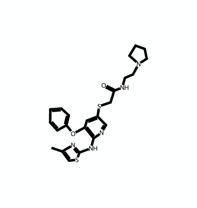 Cc1csc(Nc2ncc(SCC(=O)NCCN3CCCC3)cc2Oc2ccccc2)n1